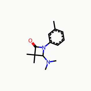 Cc1cccc(N2C(=O)C(C)(C)C2N(C)C)c1